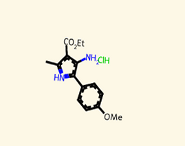 CCOC(=O)c1c(C)[nH]c(-c2ccc(OC)cc2)c1N.Cl